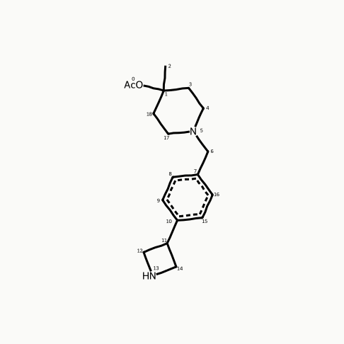 CC(=O)OC1(C)CCN(Cc2ccc(C3CNC3)cc2)CC1